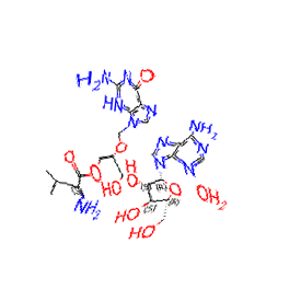 CC(C)[C@H](N)C(=O)OCC(CO)OCn1cnc2c(=O)nc(N)[nH]c21.Nc1ncnc2c1ncn2[C@@H]1O[C@H](CO)[C@@H](O)[C@@H]1O.O